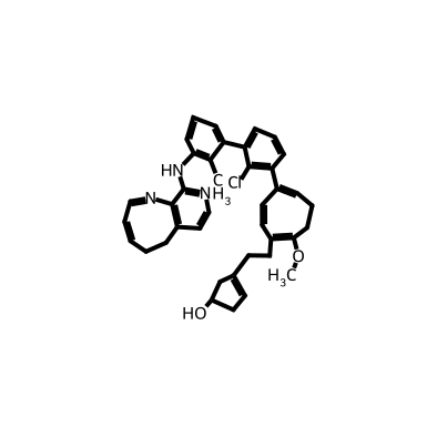 CO/C1=C(CCC2=CCC(O)C2)/C=C\C(c2cccc(-c3cccc(Nc4nccc5c4/N=C\C=C/CC5)c3C)c2Cl)=C/CC1